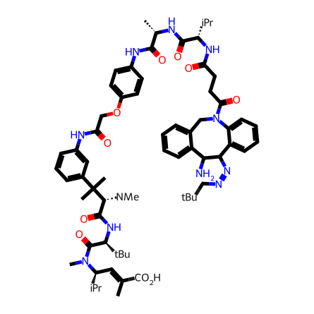 CN[C@H](C(=O)N[C@H](C(=O)N(C)[C@@H](/C=C(\C)C(=O)O)C(C)C)C(C)(C)C)C(C)(C)c1cccc(NC(=O)COc2ccc(NC(=O)[C@H](C)NC(=O)[C@@H](NC(=O)CCC(=O)N3Cc4ccccc4C(N)C(/N=N\CC(C)(C)C)c4ccccc43)C(C)C)cc2)c1